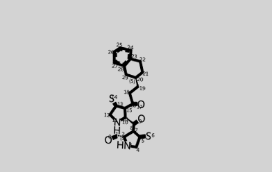 O=C[C@H]1NCC(=S)C1C(=O)[C@H]1NCC(=S)C1C(=O)CC[C@@H]1CCc2ccccc2C1